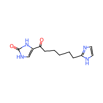 O=C(CCCCCc1ncc[nH]1)c1c[nH]c(=O)[nH]1